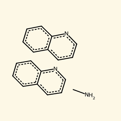 CN.c1ccc2ncccc2c1.c1ccc2ncccc2c1